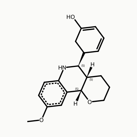 COc1ccc2c(c1)[C@H]1OCCC[C@H]1[C@H](C1C=CC=C(O)C1)N2